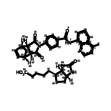 Cc1ccnc2c(NC(=O)c3ccc(N4C(=O)[C@@H]5[C@H](C4=O)[C@@H]4C=C[C@H]5C4)cc3)cccc12.O=C(O)CCCC[C@@H]1SC[C@@H]2NC(=O)N[C@@H]21